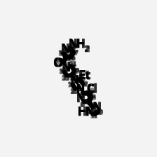 CC[C@H]1CN(c2ncc(-c3ncc[nH]3)cc2Cl)CCN1C1CCN(C(=O)c2ccc(N)nc2)CC1